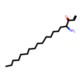 C=CC(=O)C(N)CCCCCCCCCCCCCCC